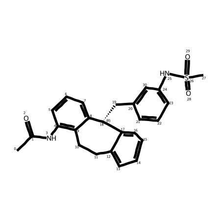 CC(=O)Nc1cccc2c1CCc1ccccc1[C@H]2Cc1cccc(NS(C)(=O)=O)c1